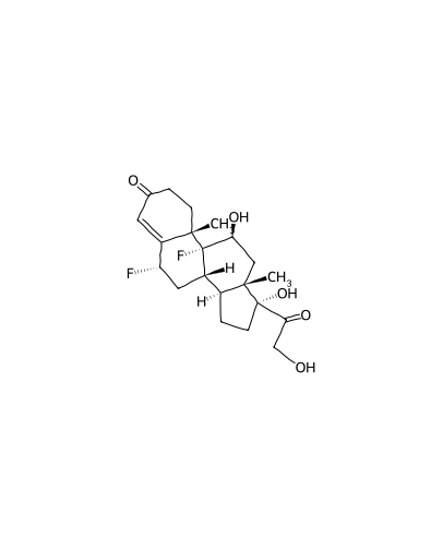 C[C@]12CCC(=O)C=C1[C@@H](F)C[C@H]1[C@@H]3CC[C@](O)(C(=O)CO)[C@@]3(C)C[C@H](O)[C@@]12F